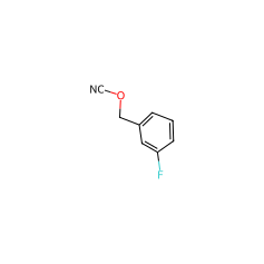 N#COCc1cccc(F)c1